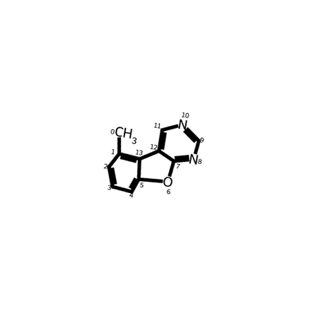 Cc1cccc2oc3ncncc3c12